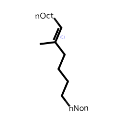 CCCCCCCC/C=C(\C)CCCCCCCCCCCCC